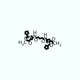 CCC(=O)C1C[C@@H](NC(=O)CCCC(=O)N[C@H]2CC(C(=O)CC)N(C(=O)C3CCCC3)C2)CN1C(=O)C1CCCC1